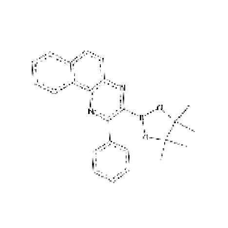 CC1(C)OB(c2nc3ccc4ccccc4c3nc2-c2ccccc2)OC1(C)C